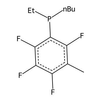 CCCCP(CC)c1c(F)c(C)c(F)c(F)c1F